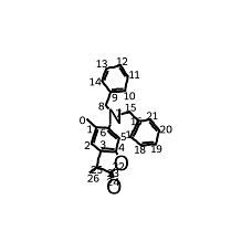 Cc1cc2c(cc1N(Cc1ccccc1)Cc1ccccc1)OC(=O)C2C